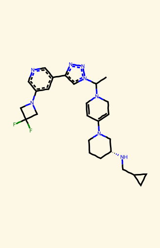 CC(N1C=CC(N2CCC[C@@H](NCC3CC3)C2)=CC1)n1cc(-c2cncc(N3CC(F)(F)C3)c2)nn1